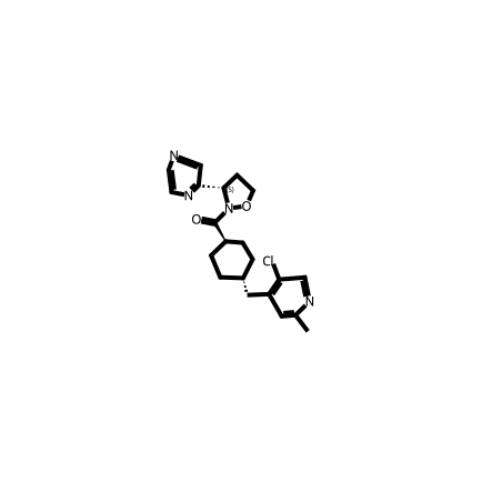 Cc1cc(C[C@H]2CC[C@H](C(=O)N3OCC[C@H]3c3cnccn3)CC2)c(Cl)cn1